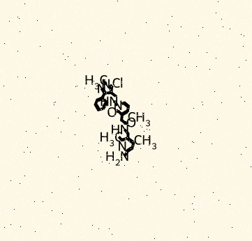 Cc1cc(N)nc(C)c1CNC(=O)Cc1c(C)ccn(NCc2c(-c3ccccc3)nn(C)c2Cl)c1=O